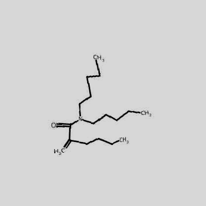 C=C(CCCC)C(=O)N(CCCCC)CCCCC